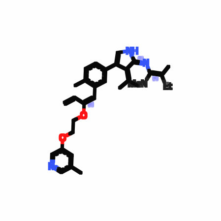 C=C/C(=C\c1cc(C2=CN/C(=N/C(NC)=C(\C)CC)C2=C(C)C)ccc1C)OCCOc1cncc(C)c1